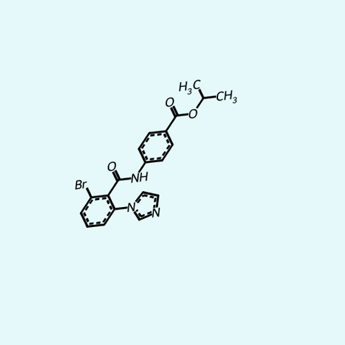 CC(C)OC(=O)c1ccc(NC(=O)c2c(Br)cccc2-n2ccnc2)cc1